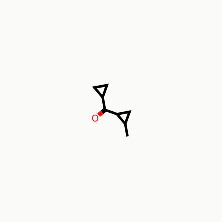 CC1CC1C(=O)C1CC1